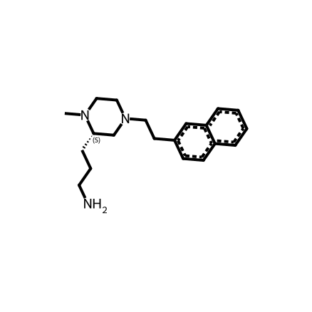 CN1CCN(CCc2ccc3ccccc3c2)C[C@@H]1CCCN